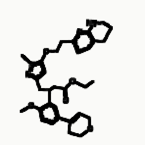 CCOC(=O)CC(Cc1cc(OCCc2ccc3c(n2)NCCC3)n(C)n1)c1cc(C2=CCOCC2)ccc1OC